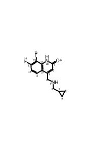 O=c1cc(CNCC2CC2)c2ccc(F)c(F)c2[nH]1